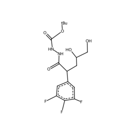 CC(C)(C)OC(=O)NNC(=O)C(CC(O)CO)c1cc(F)c(F)c(F)c1